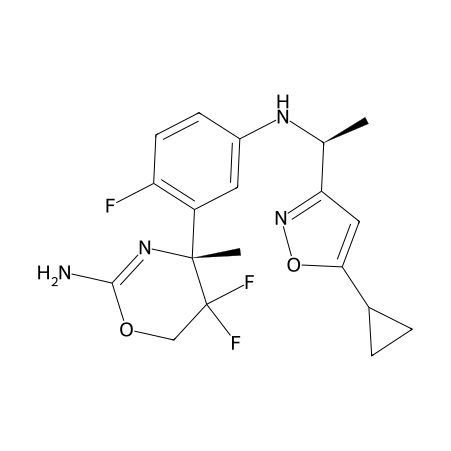 C[C@H](Nc1ccc(F)c([C@@]2(C)N=C(N)OCC2(F)F)c1)c1cc(C2CC2)on1